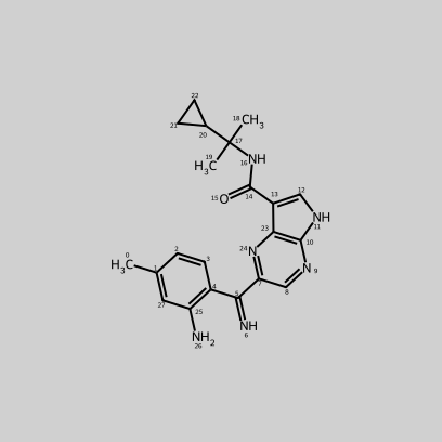 Cc1ccc(C(=N)c2cnc3[nH]cc(C(=O)NC(C)(C)C4CC4)c3n2)c(N)c1